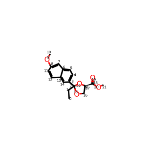 CCC1(c2ccc3cc(OC)ccc3c2)OC[C@H](C(=O)OC)O1